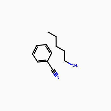 CCCCCN.N#Cc1ccccc1